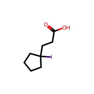 O=C(O)CCC1(I)CCCC1